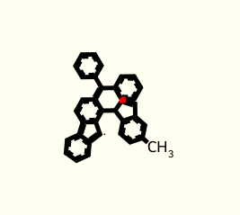 Cc1ccc2c(c1)C=CC2c1c2c(ccc1=C(c1ccccc1)c1ccccc1)=c1ccccc1=[C]2